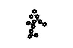 c1ccc(-c2ccc(N(c3cccc(N(c4ccccc4)c4ccccc4)c3)c3ccc4c(c3)c3ccc(-c5ccc6c7ccccc7n(-c7ccccc7)c6c5)cc3n4-c3ccccc3)cc2)cc1